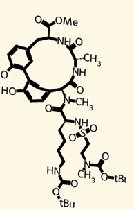 COC(=O)[C@@H]1Cc2ccc(O)c(c2)-c2cc(ccc2O)[C@H](N(C)C(=O)[C@H](CCCCNC(=O)OC(C)(C)C)NS(=O)(=O)CCN(C)C(=O)OC(C)(C)C)C(=O)N[C@@H](C)C(=O)N1